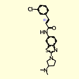 CN(C)C1CCN(c2nc3ccc(NC(=O)/C=C/c4cccc(Cl)c4)cc3s2)C1